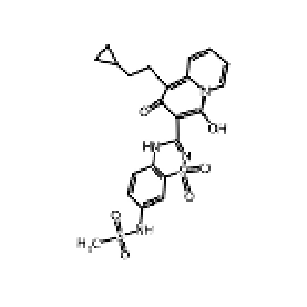 CS(=O)(=O)Nc1ccc2c(c1)S(=O)(=O)N=C(c1c(O)n3ccccc3c(CCC3CC3)c1=O)N2